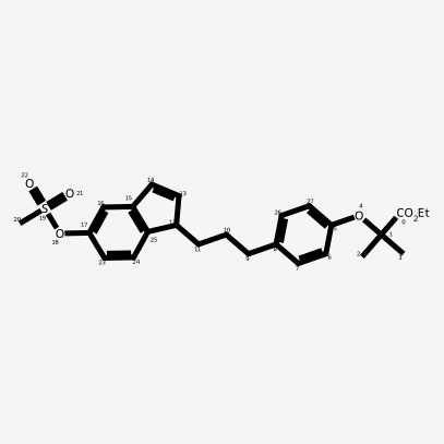 CCOC(=O)C(C)(C)Oc1ccc(CCCC2C=Cc3cc(OS(C)(=O)=O)ccc32)cc1